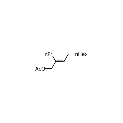 CCCCCCC/C=C(\CCC)COC(C)=O